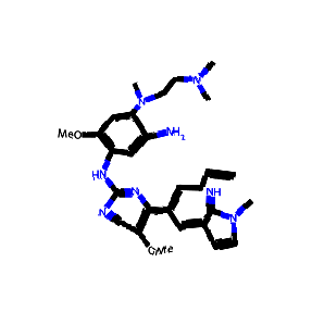 C=CCC=C(/C=C1/C=CN(C)C1=N)c1nc(Nc2cc(N)c(N(C)CCN(C)C)cc2OC)ncc1OC